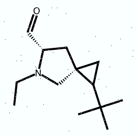 CCN1C[C@@]2(CC2C(C)(C)C)C[C@H]1C=O